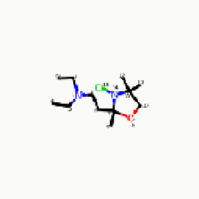 CCN(CC)CCC1(C)OCC(C)(C)N1Cl